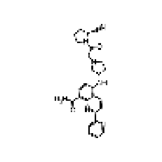 N#C[C@@H]1CCCN1C(=O)CN1CC[C@H](Nc2ccc(C(N)=O)c3nc(-c4ccccn4)ccc23)C1